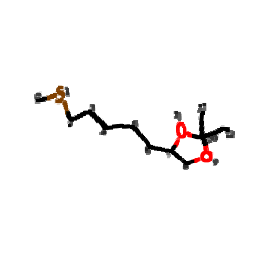 CSCCCCCC1COC(C)(C)O1